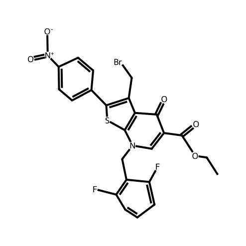 CCOC(=O)c1cn(Cc2c(F)cccc2F)c2sc(-c3ccc([N+](=O)[O-])cc3)c(CBr)c2c1=O